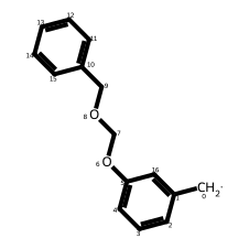 [CH2]c1cccc(OCOCc2ccccc2)c1